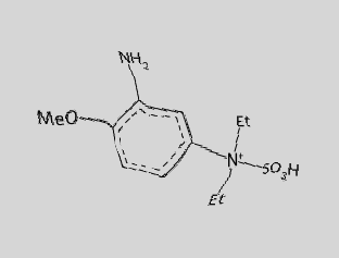 CC[N+](CC)(c1ccc(OC)c(N)c1)S(=O)(=O)O